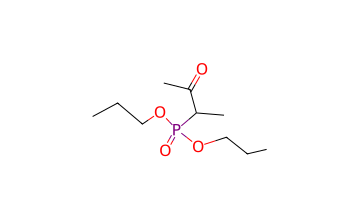 CCCOP(=O)(OCCC)C(C)C(C)=O